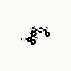 O=C(C1CCCC1)N1CCN(c2ncnc3c(F)c(-c4cc(O)cc5ccccc45)c(Cl)cc23)CC1